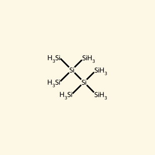 [SiH3][Si]([SiH3])([SiH3])[Si]([SiH3])([SiH3])[SiH3]